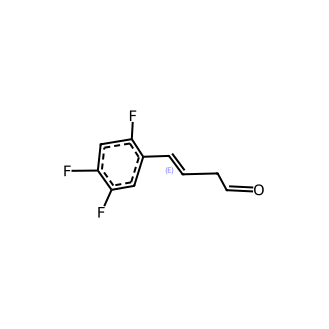 O=CC/C=C/c1cc(F)c(F)cc1F